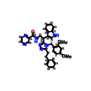 COc1ccc(Cn2c(CCc3ccccc3)nnc2C(CNC(=O)c2cnccn2)c2c[nH]c3ccccc23)c(OC)c1